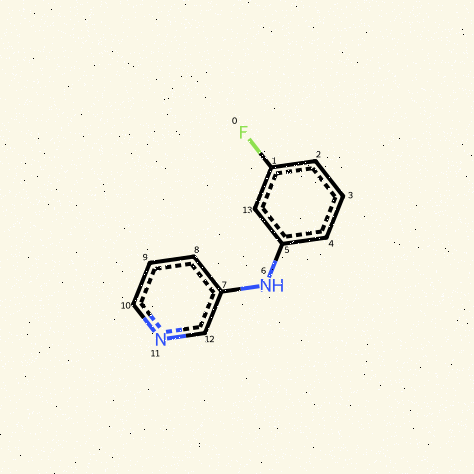 Fc1cccc(Nc2cccnc2)c1